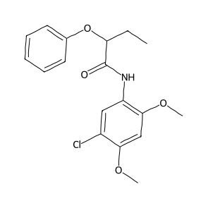 CCC(Oc1ccccc1)C(=O)Nc1cc(Cl)c(OC)cc1OC